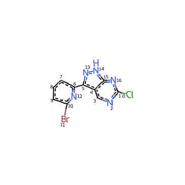 Clc1ncc2c(-c3cccc(Br)n3)n[nH]c2n1